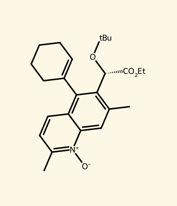 CCOC(=O)[C@@H](OC(C)(C)C)c1c(C)cc2c(ccc(C)[n+]2[O-])c1C1=CCCCC1